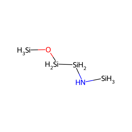 [SiH3]N[SiH2][SiH2]O[SiH3]